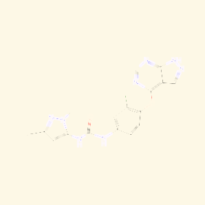 Cn1nc(C(C)(C)C)cc1NC(=O)Nc1ccc(Oc2ncnc3[nH]ncc23)c(F)c1